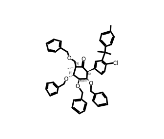 Cc1ccc(C(C)(C)c2cc([C@@H]3C(=O)[C@](C)(COCc4ccccc4)[C@@H](OCc4ccccc4)[C@H](OCc4ccccc4)[C@H]3OCc3ccccc3)ccc2Cl)cc1